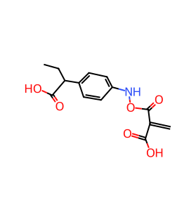 C=C(C(=O)O)C(=O)ONc1ccc(C(CC)C(=O)O)cc1